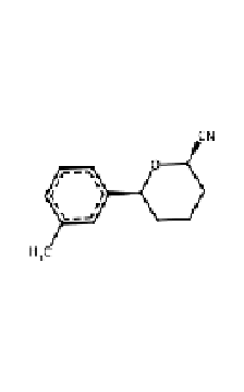 Cc1cccc([C@@H]2CCC[C@H](C#N)O2)c1